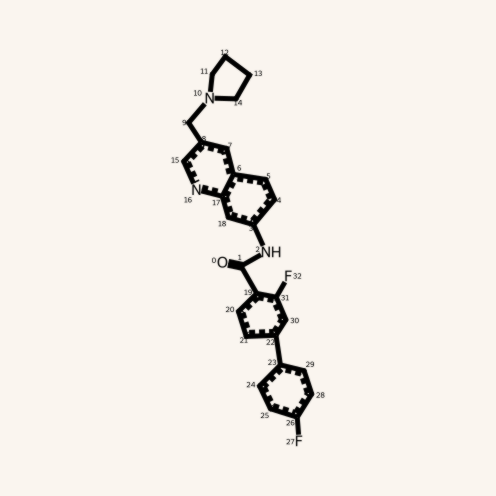 O=C(Nc1ccc2cc(CN3CCCC3)cnc2c1)c1ccc(-c2ccc(F)cc2)cc1F